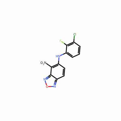 O=[N+]([O-])c1c(Nc2cccc(Cl)c2F)ccc2nonc12